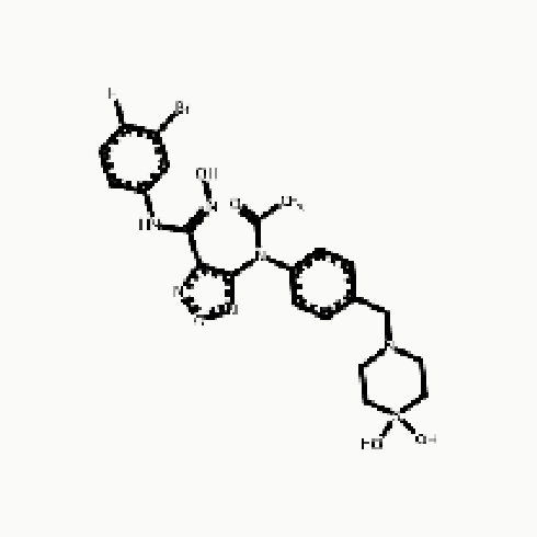 O=C(N(c1ccc(CN2CCS(O)(O)CC2)cc1)c1nonc1C(=NO)Nc1ccc(F)c(Br)c1)C(F)(F)F